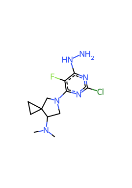 CN(C)C1CN(c2nc(Cl)nc(NN)c2F)CC12CC2